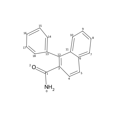 NC(=O)c1ccc2ccccc2c1-c1ccccc1